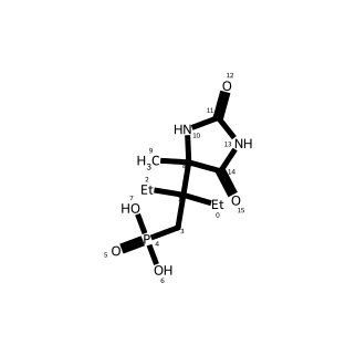 CCC(CC)(CP(=O)(O)O)C1(C)NC(=O)NC1=O